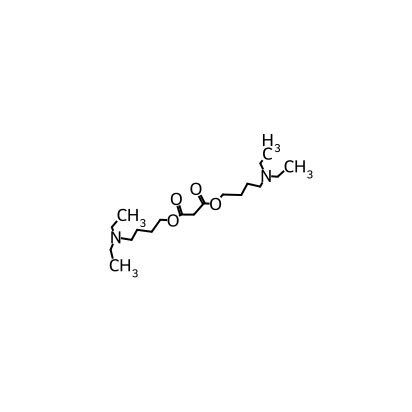 CCN(CC)CCCCOC(=O)CC(=O)OCCCCN(CC)CC